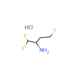 Cl.NC(CCF)C(F)F